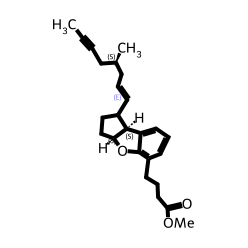 CC#CC[C@@H](C)C/C=C/C1CC[C@@H]2Oc3c(CCCC(=O)OC)cccc3[C@H]12